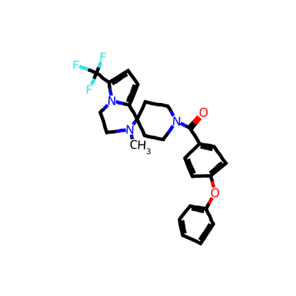 CN1CCn2c(C(F)(F)F)ccc2C12CCN(C(=O)c1ccc(Oc3ccccc3)cc1)CC2